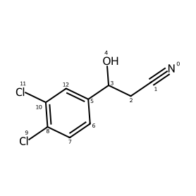 N#CCC(O)c1ccc(Cl)c(Cl)c1